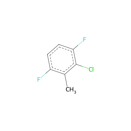 Cc1c(F)ccc(F)c1Cl